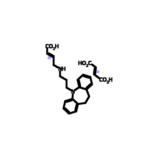 O=C(O)/C=C/C(=O)O.O=C(O)/C=C/CNCCCN1c2ccccc2CCc2ccccc21